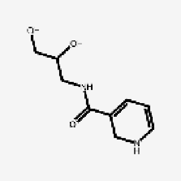 O=C(NCC(O)CO)C1=CC=CNC1